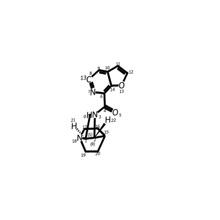 C[C@H]1[C@H](NC(=O)c2n[13cH]cc3ccoc23)C2CCN1CC2